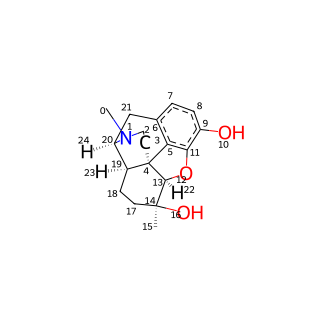 CN1CC[C@]23c4c5ccc(O)c4O[C@H]2[C@@](C)(O)CC[C@H]3[C@H]1C5